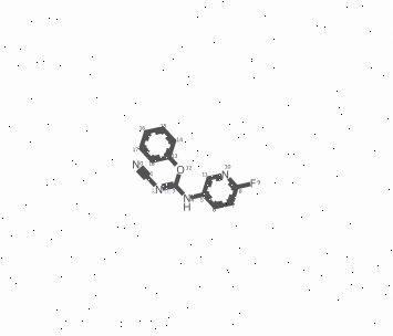 N#C/N=C(/Nc1ccc(F)nc1)Oc1ccccc1